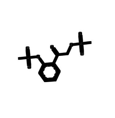 CS(=O)(=O)OCC(=O)c1ccccc1OS(C)(=O)=O